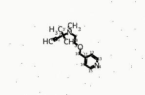 C#CC(C)(C)N(C)CCOCc1ccncc1